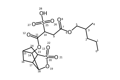 CCCC(C)COC(=O)CC(C(=O)OC1C2CC3C1OS(=O)(=O)C3C2)S(=O)(=O)O